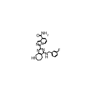 NC(=O)c1cccn2c(-c3nc4c(c(NCc5cccc(F)c5)n3)CCCNC4)ncc12